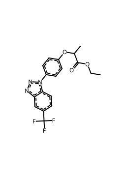 CCOC(=O)C(C)Oc1ccc(-n2nnc3cc(C(F)(F)F)ccc32)cc1